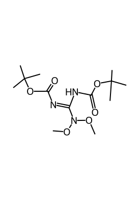 CON(OC)C(=NC(=O)OC(C)(C)C)NC(=O)OC(C)(C)C